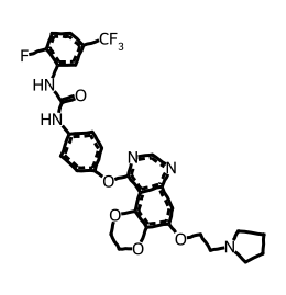 O=C(Nc1ccc(Oc2ncnc3cc(OCCN4CCCC4)c4c(c23)OCCO4)cc1)Nc1cc(C(F)(F)F)ccc1F